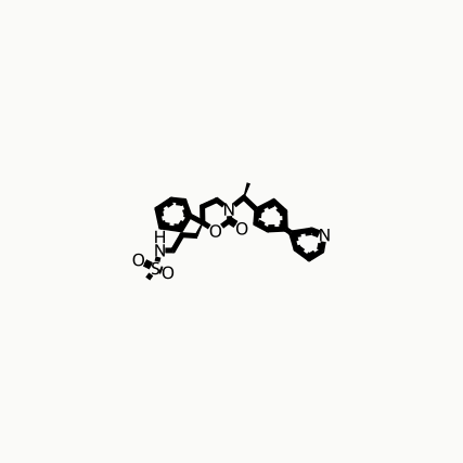 C[C@@H](c1ccc(-c2cccnc2)cc1)N1CC[C@@](CCCNS(C)(=O)=O)(c2ccccc2)OC1=O